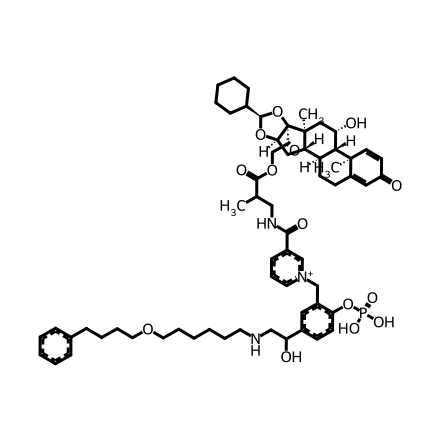 CC(CNC(=O)c1ccc[n+](Cc2cc(C(O)CNCCCCCCOCCCCc3ccccc3)ccc2OP(=O)(O)O)c1)C(=O)OCC(=O)[C@@]12O[C@H](C3CCCCC3)O[C@@H]1C[C@H]1[C@@H]3CCC4=CC(=O)C=C[C@]4(C)[C@H]3[C@@H](O)C[C@@]12C